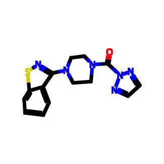 O=C(N1CCN(c2nsc3ccccc23)CC1)n1nccn1